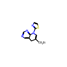 CCOC(=O)C1=CN(c2nccs2)c2ncncc2C1